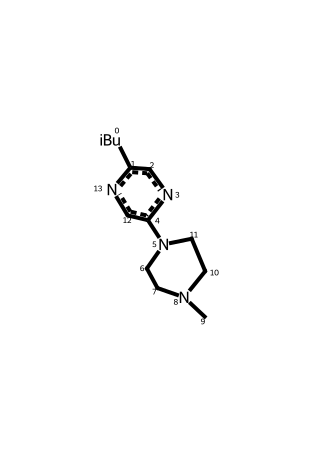 CCC(C)c1cnc(N2CCN(C)CC2)cn1